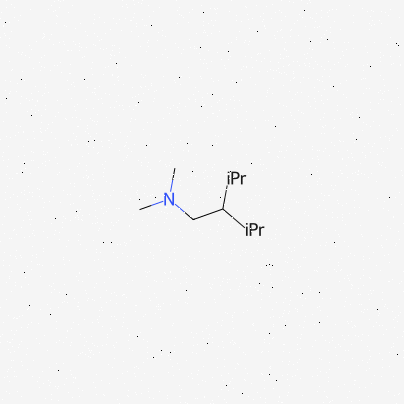 CC(C)C(CN(C)C)C(C)C